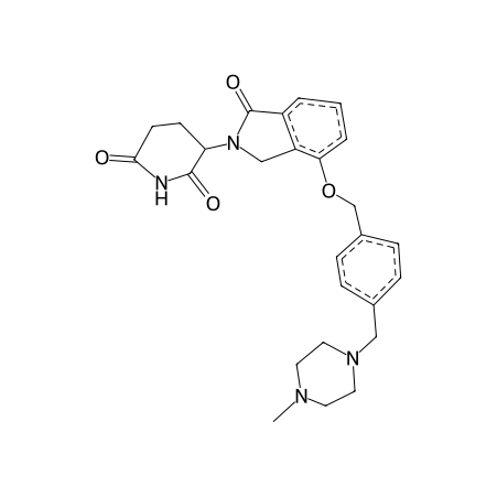 CN1CCN(Cc2ccc(COc3cccc4c3CN(C3CCC(=O)NC3=O)C4=O)cc2)CC1